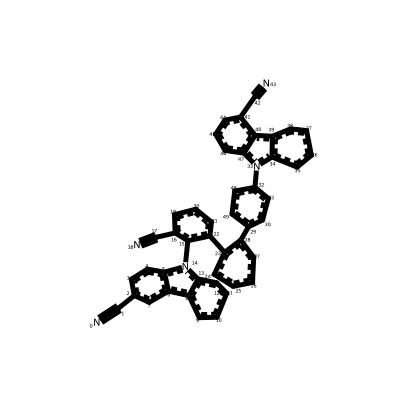 N#Cc1ccc2c(c1)c1ccccc1n2-c1c(C#N)cccc1-c1ccccc1-c1ccc(-n2c3ccccc3c3c(C#N)cccc32)cc1